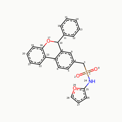 O=S(=O)(Cc1ccc2c(c1)C(c1ccccc1)Oc1ccccc1-2)Nc1ccco1